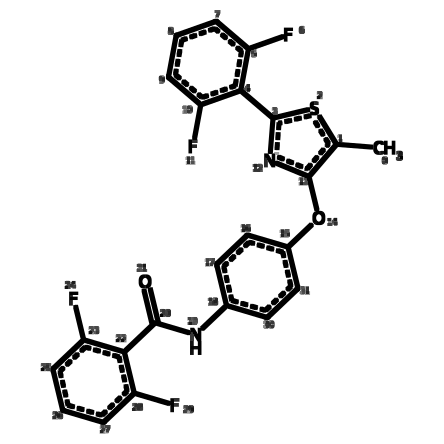 Cc1sc(-c2c(F)cccc2F)nc1Oc1ccc(NC(=O)c2c(F)cccc2F)cc1